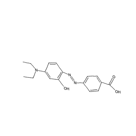 CCN(CC)c1ccc(N=Nc2ccc(C(=O)O)cc2)c(O)c1